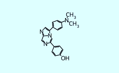 CN(C)c1ccc(-c2cnc3cnc(-c4ccc(O)cc4)cn23)cc1